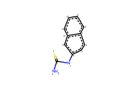 NC(=S)[N]c1ccc2ccccc2c1